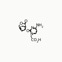 Nc1ccn(CC(=O)O)c(=O)n1.O=C1OCc2ccc1cc2